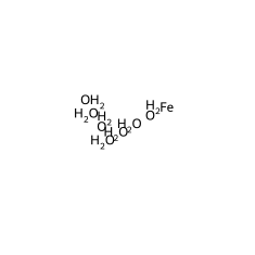 O.O.O.O.O.O.O.[Fe]